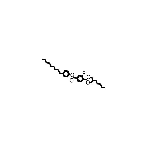 CCCCCCCCCc1ccc(OC(=O)c2ccc(C3OCC(CCCCC)CO3)c(F)c2)cc1